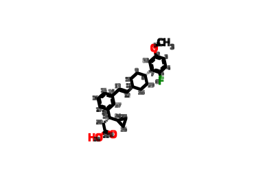 COc1ccc(F)c([C@H]2CC[C@H](/C=C/c3cccc([C@@H](CC(=O)O)C4CC4)c3)CC2)c1